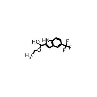 CCOC(O)c1cc2cc(C(F)(F)F)ccc2[nH]1